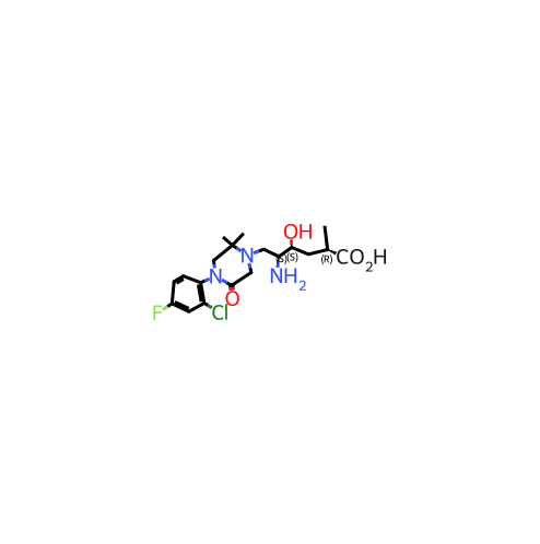 C[C@H](C[C@H](O)[C@@H](N)CN1CC(=O)N(c2ccc(F)cc2Cl)CC1(C)C)C(=O)O